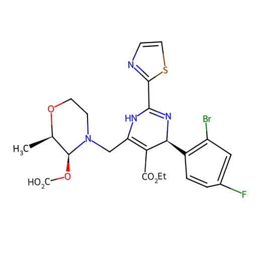 CCOC(=O)C1=C(CN2CCO[C@H](C)[C@@H]2OC(=O)O)NC(c2nccs2)=N[C@H]1c1ccc(F)cc1Br